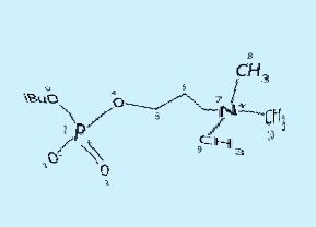 CC(C)COP(=O)([O-])OCC[N+](C)(C)C